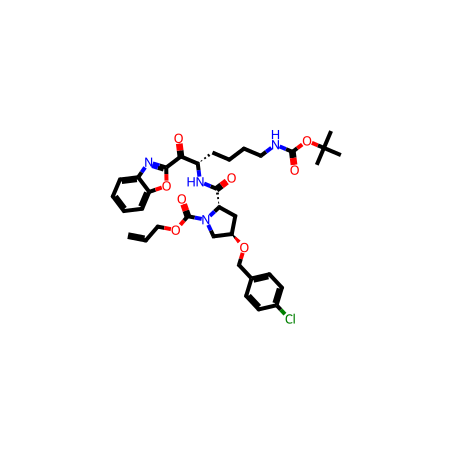 C=CCOC(=O)N1C[C@H](OCc2ccc(Cl)cc2)C[C@H]1C(=O)N[C@@H](CCCCNC(=O)OC(C)(C)C)C(=O)c1nc2ccccc2o1